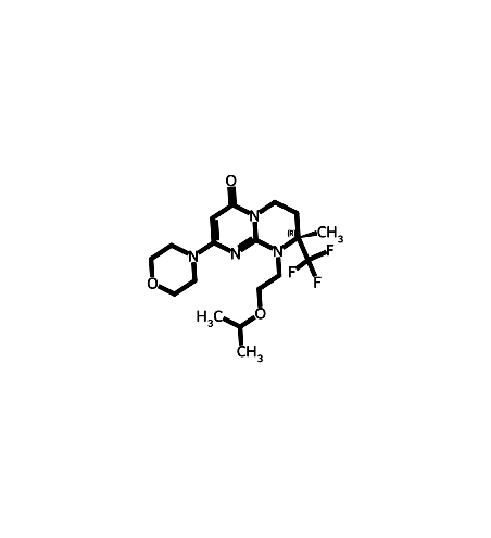 CC(C)OCCN1c2nc(N3CCOCC3)cc(=O)n2CC[C@]1(C)C(F)(F)F